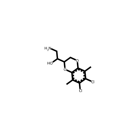 Cc1c(Cl)c(Cl)c(C)c2c1OCC(C(O)CN)O2